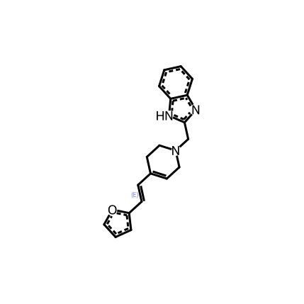 C1=C(/C=C/c2ccco2)CCN(Cc2nc3ccccc3[nH]2)C1